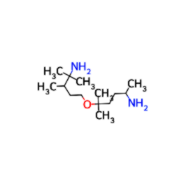 CC(N)CCC(C)(C)OCCC(C)C(C)(C)N